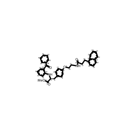 COC(=O)[C@H](Cc1ccc(OCCNC(=O)CCc2cccc3ccccc23)cc1)Nc1ccccc1C(=O)c1ccccc1